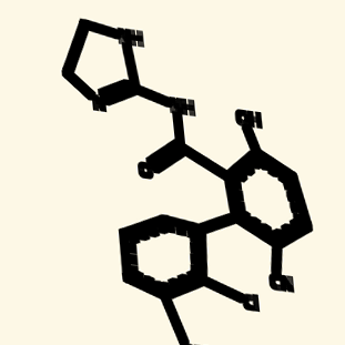 COc1cccc(-c2c(C#N)ccc(O)c2C(=O)NC2=NCCN2)c1Cl